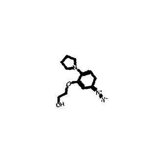 [N-]=[N+]=C1C=C(OCCO)C(N2CCCC2)=CC1